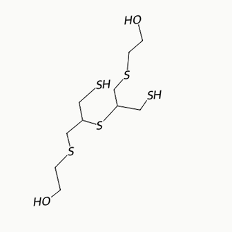 OCCSCC(CS)SC(CS)CSCCO